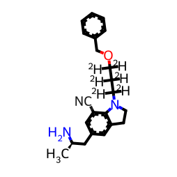 [2H]C([2H])(OCc1ccccc1)C([2H])([2H])C([2H])([2H])N1CCc2cc(C[C@@H](C)N)cc(C#N)c21